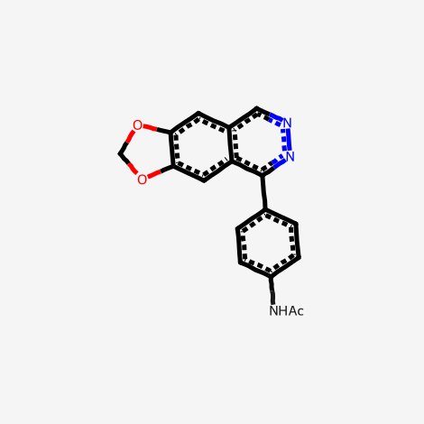 CC(=O)Nc1ccc(-c2nncc3cc4c(cc23)OCO4)cc1